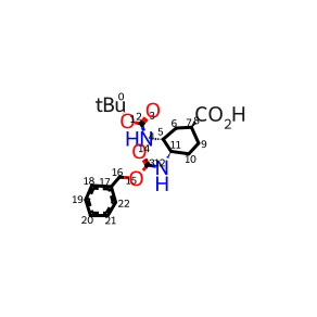 CC(C)(C)OC(=O)N[C@@H]1C[C@@H](C(=O)O)CC[C@@H]1NC(=O)OCc1ccccc1